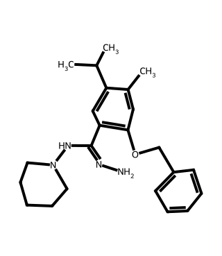 Cc1cc(OCc2ccccc2)c(/C(=N\N)NN2CCCCC2)cc1C(C)C